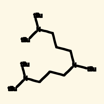 CC(C)(C)N(CCCN(C(C)(C)C)C(C)(C)C)CCCN(C(C)(C)C)C(C)(C)C